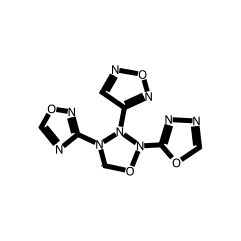 [CH]1ON(c2nnco2)N(c2cnon2)N1c1ncon1